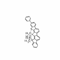 CC1(C)c2ccccc2-c2ccc3c(c21)C(C)(C)c1c-3ccc2c1sc1cc(-c3ccccc3)ccc12